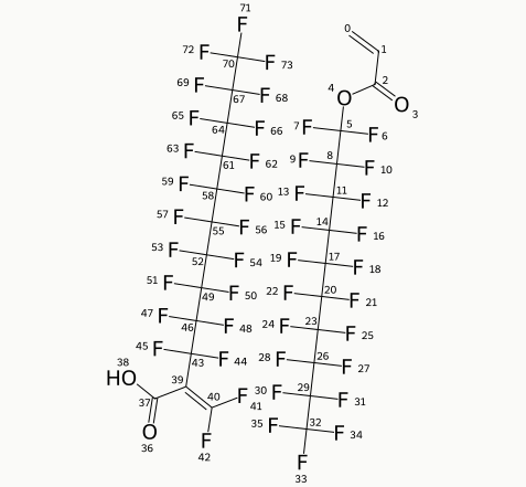 C=CC(=O)OC(F)(F)C(F)(F)C(F)(F)C(F)(F)C(F)(F)C(F)(F)C(F)(F)C(F)(F)C(F)(F)C(F)(F)F.O=C(O)C(=C(F)F)C(F)(F)C(F)(F)C(F)(F)C(F)(F)C(F)(F)C(F)(F)C(F)(F)C(F)(F)C(F)(F)C(F)(F)F